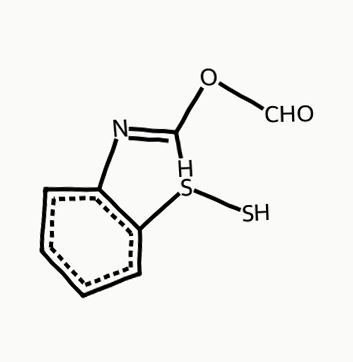 O=COC1=Nc2ccccc2[SH]1S